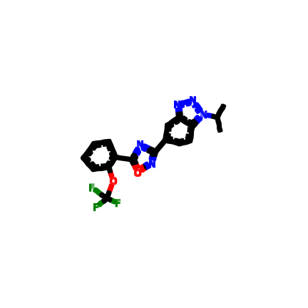 CC(C)n1nnc2cc(-c3noc(-c4ccccc4OC(F)(F)F)n3)ccc21